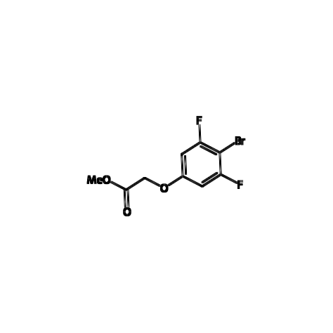 COC(=O)COc1cc(F)c(Br)c(F)c1